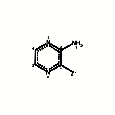 [CH2]c1nccnc1N